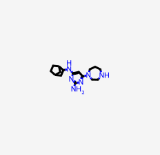 Nc1nc(NC2CC3CCC2C3)cc(N2CCCNCC2)n1